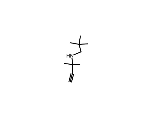 C#CC(C)(C)NCC(C)(C)C